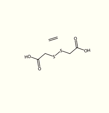 C=C.O=C(O)CSSCC(=O)O